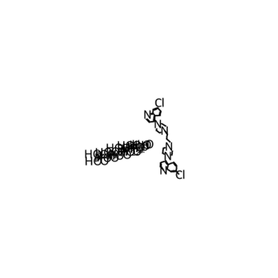 Clc1ccc2c(N3CCN(CCCN4CCN(c5ccnc6cc(Cl)ccc56)CC4)CC3)ccnc2c1.O.O.O.O.O=P(O)(O)O.O=P(O)(O)O.O=P(O)(O)O.O=P(O)(O)O